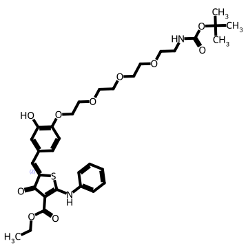 CCOC(=O)C1=C(Nc2ccccc2)S/C(=C\c2ccc(OCCOCCOCCOCCNC(=O)OC(C)(C)C)c(O)c2)C1=O